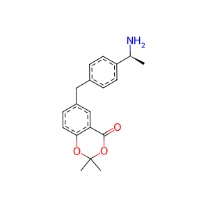 C[C@H](N)c1ccc(Cc2ccc3c(c2)C(=O)OC(C)(C)O3)cc1